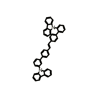 C(=C\c1ccc(-c2ccccc2-n2c3ccccc3c3ccccc32)cc1)/c1ccc(-c2cccc(-n3c4ccccc4c4ccccc43)c2)cc1